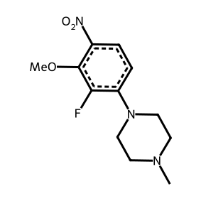 COc1c([N+](=O)[O-])ccc(N2CCN(C)CC2)c1F